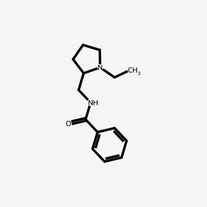 CCN1CCCC1CNC(=O)c1ccccc1